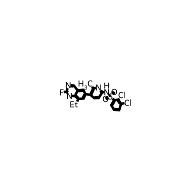 CCc1cc(-c2ccc(NS(=O)(=O)c3cccc(Cl)c3Cl)nc2C)cc2cnc(F)nc12